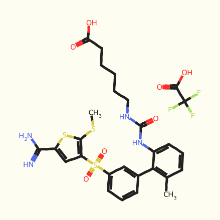 CSc1sc(C(=N)N)cc1S(=O)(=O)c1cccc(-c2c(C)cccc2NC(=O)NCCCCCC(=O)O)c1.O=C(O)C(F)(F)F